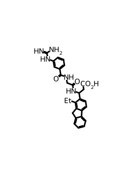 CCc1c(C(CC(=O)O)NC(=O)CNC(=O)c2cccc(NC(=N)N)c2)ccc2c1Cc1ccccc1-2